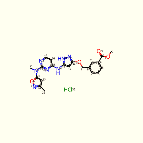 COC(=O)c1cccc(COc2cc(Nc3ccnc(N(C)c4cc(C)no4)n3)[nH]n2)c1.Cl